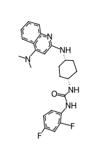 CN(C)c1cc(N[C@H]2CC[C@@H](NC(=O)Nc3ccc(F)cc3F)CC2)nc2ccccc12